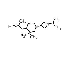 CC(C)CC1CCN(C2CN(C(C)C)C2)CC1(C)C